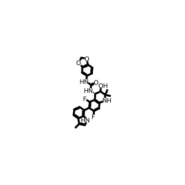 Cc1c[nH]c2c(-c3c(F)cc4c(c3F)[C@H](NC(=O)Nc3ccc5c(c3)OCO5)C(O)C(C)(C)N4)cccc12